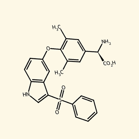 Cc1cc([C@@H](N)C(=O)O)cc(C)c1Oc1ccc2[nH]cc(S(=O)(=O)c3ccccc3)c2c1